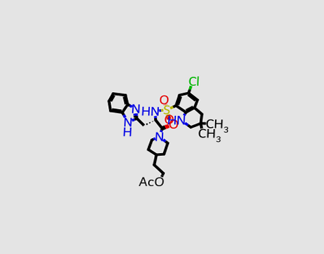 CC(=O)OCCC1CCN(C(=O)[C@H](Cc2nc3ccccc3[nH]2)NS(=O)(=O)c2cc(Cl)cc3c2NCC(C)(C)C3)CC1